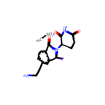 CS(=O)(=O)O.NCc1ccc2c(c1)C(I)N(C1CCC(=O)NC1=O)C2=O